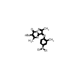 CCCCc1c(C)nc2n(c1=O)N=C(C)C2=Nc1ccc(N(CC)CC)cc1C